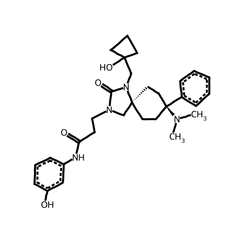 CN(C)[C@]1(c2ccccc2)CC[C@]2(CC1)CN(CCC(=O)Nc1cccc(O)c1)C(=O)N2CC1(O)CCC1